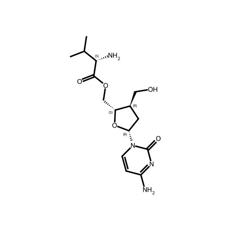 CC(C)[C@H](N)C(=O)OC[C@H]1O[C@@H](n2ccc(N)nc2=O)C[C@@H]1CO